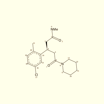 CNC(=O)C[C@@H](CC(=O)N1CCCCC1)c1cc(Cl)ccc1C